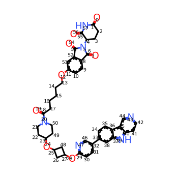 O=C1CCC(N2C(=O)c3ccc(OCCCCCC(=O)N4CCC(OC5CC(Oc6ccc(-c7ccc8c(c7)[nH]c7ccncc78)cn6)C5)CC4)cc3C2=O)C(=O)N1